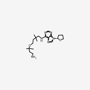 CC(C)(CCOC(C)(C)CCN)CNc1ncnc2c1ncn2[C@H]1CCCO1